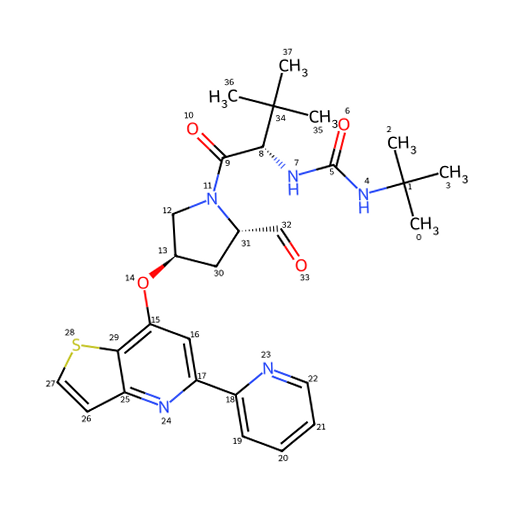 CC(C)(C)NC(=O)N[C@H](C(=O)N1C[C@H](Oc2cc(-c3ccccn3)nc3ccsc23)C[C@H]1C=O)C(C)(C)C